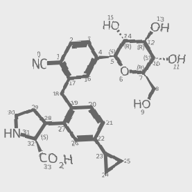 N#Cc1ccc([C@@H]2O[C@H](CO)[C@@H](O)[C@H](O)[C@H]2O)cc1Cc1ccc(C2CC2)cc1C1CCN[C@@H]1C(=O)O